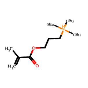 C=C(C)C(=O)OCCC[PH](CCCC)(CCCC)CCCC